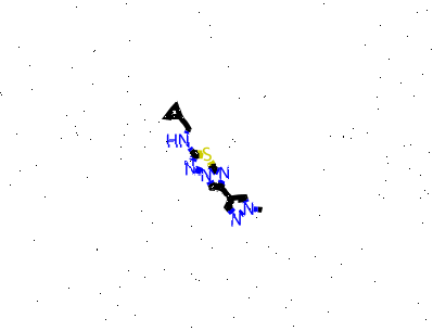 Cn1cc(-c2cn3nc(NCC4CC4)sc3n2)cn1